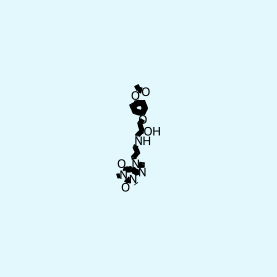 CC(=O)Oc1ccc(OCC(O)CNCCCn2cnc3c2c(=O)n(C)c(=O)n3C)cc1